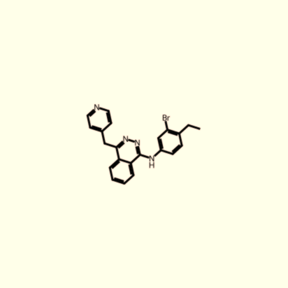 CCc1ccc(Nc2nnc(Cc3ccncc3)c3ccccc23)cc1Br